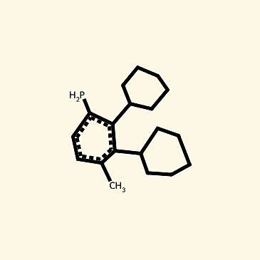 Cc1ccc(P)c(C2CCCCC2)c1C1CCCCC1